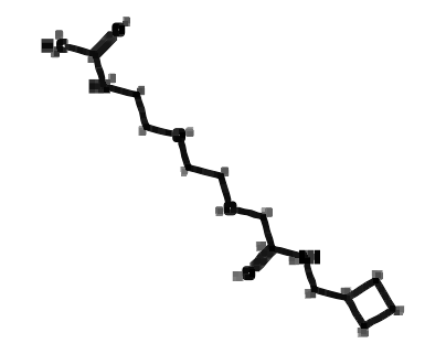 CC(=O)NCCOCCOCC(=O)NCC1CCC1